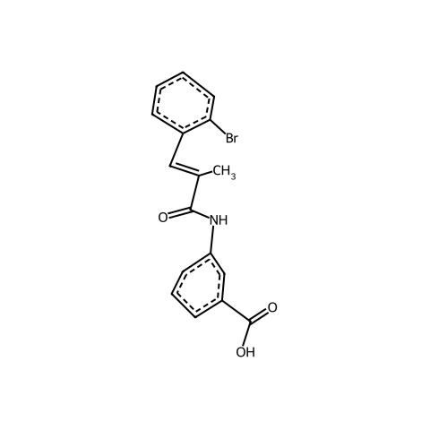 CC(=Cc1ccccc1Br)C(=O)Nc1cccc(C(=O)O)c1